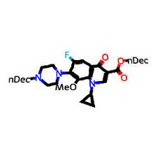 CCCCCCCCCCOC(=O)c1cn(C2CC2)c2c(OC)c(N3CCN(CCCCCCCCCC)CC3)c(F)cc2c1=O